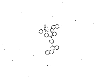 CC1(C)c2ccccc2-c2ccc(N(c3ccc(-c4cc5c6ccccc6ccc5c5ccccc45)cc3)c3cccc(-c4cccc5ccccc45)c3)cc21